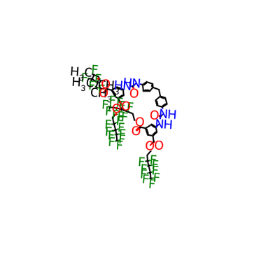 CC(F)(F)C(C)(F)C(C)(F)C(C)(F)CCOC(=O)c1cc(NC(=O)Nc2ccc(Cc3ccc(NC(=O)Nc4cc(C(=O)OCCC(F)(F)C(F)(F)C(F)(F)C(F)(F)F)cc(C(=O)OCCC(F)(F)C(F)(F)C(F)(F)C(F)(F)F)c4)cc3)cc2)cc(C(=O)OCCC(F)(F)C(F)(F)C(F)(F)C(F)(F)F)c1